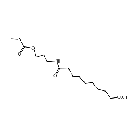 C=CC(=O)OCCCNC(=O)CCCCCCCCC(=O)O